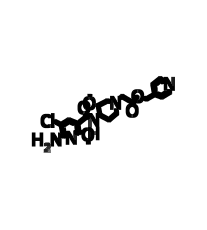 COc1nc(N)c(Cl)cc1C(=O)N[C@H]1CCN(CC(=O)OCc2ccncc2)C[C@H]1OC